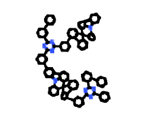 c1ccc(-c2cccc(-c3nc(-c4cccc(-c5ccc6c(c5)c5cccc7c5n6-c5ccccc5C75c6ccccc6-c6c(-c7cccc(-c8nc(-c9ccccc9)nc(-c9ccccc9-c9ccccc9)n8)c7)cccc65)c4)nc(-c4cccc(-c5cccc6c5-c5ccccc5C65c6ccccc6-n6c7ccccc7c7cccc5c76)c4)n3)c2)cc1